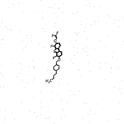 CCCCC1CCC(COc2ccc3c(sc4c(F)c(OC=C(F)F)ccc43)c2F)CC1